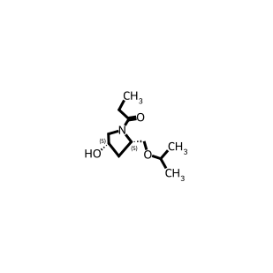 CCC(=O)N1C[C@@H](O)C[C@H]1COC(C)C